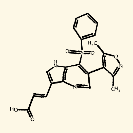 Cc1noc(C)c1-c1cnc2c(/C=C/C(=O)O)c[nH]c2c1S(=O)(=O)c1ccccc1